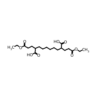 CCOC(=O)CCC(CCCCCCC(CCC(=O)OCC)C(=O)O)C(=O)O